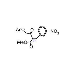 COC(=O)/C(=C/c1cccc([N+](=O)[O-])c1)C(=O)COC(C)=O